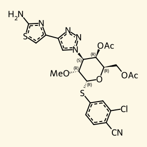 CO[C@@H]1[C@@H](n2cc(-c3csc(N)n3)nn2)[C@@H](OC(C)=O)[C@@H](COC(C)=O)O[C@@H]1Sc1ccc(C#N)c(Cl)c1